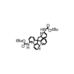 CC(C)(C)OC(=O)Nc1cccc(CC(c2cccnc2)(c2ccccn2)c2cccc(NC(=O)OC(C)(C)C)n2)n1